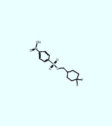 O=[N+](O)c1ccc(S(=O)(=O)OCC2CCC(F)(F)CC2)cc1